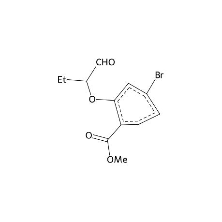 CCC(C=O)Oc1cc(Br)ccc1C(=O)OC